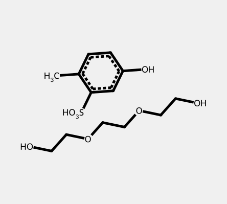 Cc1ccc(O)cc1S(=O)(=O)O.OCCOCCOCCO